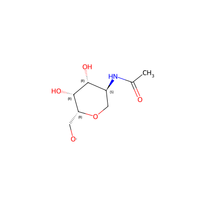 CC(=O)N[C@H]1CO[C@H](C[O])[C@H](O)[C@@H]1O